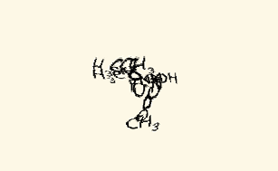 CCOc1ccc2c(c1)CCN(C(=O)O)[C@H]2C(=O)Nc1cc(F)c([Si](C)(C)C)cc1F